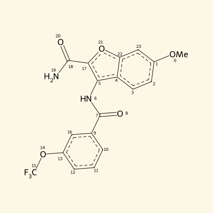 COc1ccc2c(NC(=O)c3cccc(OC(F)(F)F)c3)c(C(N)=O)oc2c1